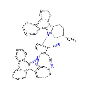 CC1CCc2c(n(-c3ccc(-n4c5ccccc5c5c6ccccc6c6ccccc6c54)c(C#N)c3C#N)c3c4ccccc4c4ccccc4c23)C1